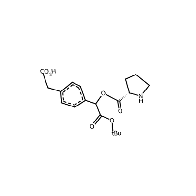 CC(C)(C)OC(=O)C(OC(=O)[C@@H]1CCCN1)c1ccc(CC(=O)O)cc1